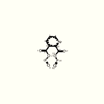 O=POC(=O)c1cccnc1C(=O)OP=O